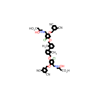 Cc1c(COc2cc(OCc3cc(C#N)cc(C#N)c3)c(CNCC(O)CC(=O)O)cc2Cl)cccc1-c1cccc(COc2cc(OCc3cc(C#N)cc(C#N)c3)c(CNCC(O)CC(=O)O)cc2Cl)c1C